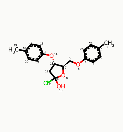 Cc1ccc(OC[C@H]2OC(O)(Cl)C[C@@H]2Oc2ccc(C)cc2)cc1